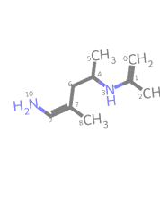 C=C(C)NC(C)C/C(C)=C\N